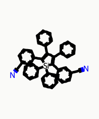 N#Cc1cccc(C2=C(c3ccccc3)C(c3ccccc3)=C(c3cccc(C#N)c3)[Si]2(c2ccccc2)c2ccccc2)c1